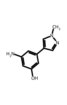 Cn1cc(-c2cc(N)cc(O)c2)cn1